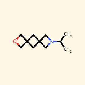 CC(C)N1CC2(C1)CC1(COC1)C2